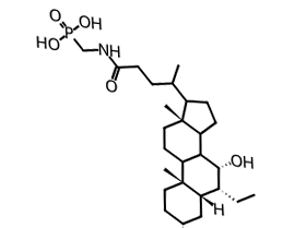 CC[C@H]1[C@@H](O)C2C3CCC(C(C)CCC(=O)NCP(=O)(O)O)[C@@]3(C)CCC2[C@@]2(C)CC[C@@H](O)C[C@@H]12